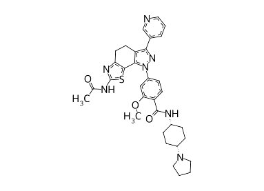 COc1cc(-n2nc(-c3cccnc3)c3c2-c2sc(NC(C)=O)nc2CC3)ccc1C(=O)N[C@H]1CC[C@@H](N2CCCC2)CC1